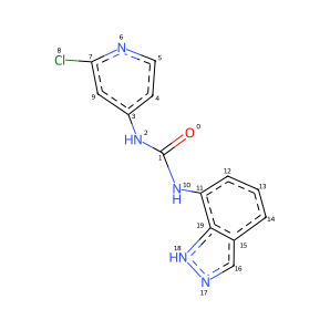 O=C(Nc1ccnc(Cl)c1)Nc1cccc2cn[nH]c12